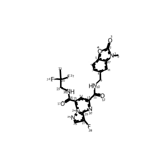 Cn1c(=O)oc2ccc(CNC(=O)c3cc(C(=O)NCC(C)(F)F)n4ncc(F)c4n3)cc21